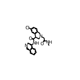 CNC(=O)CN1Cc2ccc(Cl)cc2C(C(=O)Nc2cncc3ccccc23)C1